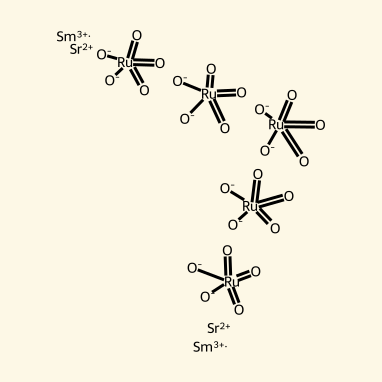 [O]=[Ru](=[O])(=[O])([O-])[O-].[O]=[Ru](=[O])(=[O])([O-])[O-].[O]=[Ru](=[O])(=[O])([O-])[O-].[O]=[Ru](=[O])(=[O])([O-])[O-].[O]=[Ru](=[O])(=[O])([O-])[O-].[Sm+3].[Sm+3].[Sr+2].[Sr+2]